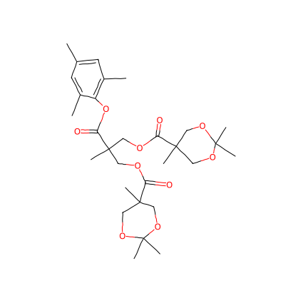 Cc1cc(C)c(OC(=O)C(C)(COC(=O)C2(C)COC(C)(C)OC2)COC(=O)C2(C)COC(C)(C)OC2)c(C)c1